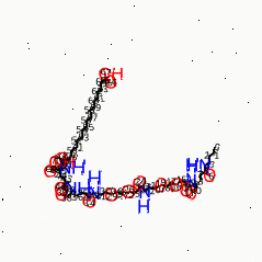 CCCCNC(=O)CC[C@@H](C=O)NC(=O)COCCOCCNC(=O)COCCOCCNC(=O)CC[C@@H](C=O)NC(=O)CCC(NC(=O)CCCCCCCCCCCCCCCCC(=O)O)C(=O)O